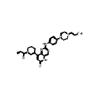 C=CC(=O)N1CCCC(c2cc(=O)[nH]c3cnc(Nc4ccc(N5CCN(CCO)CC5)cc4)nc23)C1